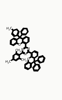 Cc1cc(C)c(-c2nc(C3=C4Oc5ccccc5C(c5ccccc5)(c5ccccc5)C4CC=C3)nc(-c3cccc4c3Oc3ccccc3C4(C3=CCCC=C3)C3=CCC(C)C=C3)n2)c(C)c1